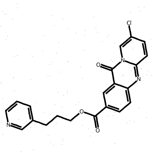 O=C(OCCCc1cccnc1)c1ccc2nc3ccc(Cl)cn3c(=O)c2c1